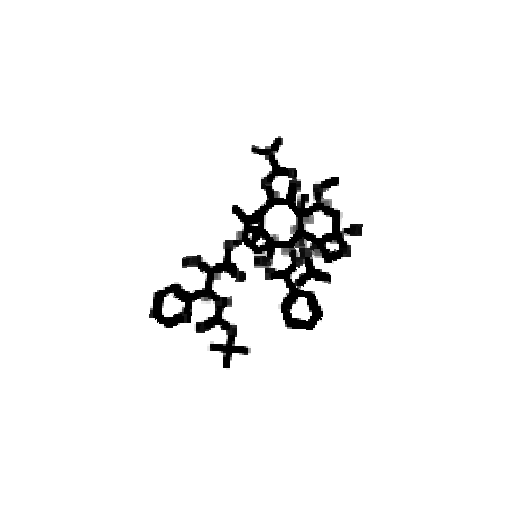 C=C(C)O[C@@]12CO[C@@H]1C[C@H](OC)[C@@]1(C)C(=O)[C@H](OC(=O)N(C)C)C3=C(C)[C@@H](OC(=O)[C@H](O)[C@@H](NC(=O)OC(C)(C)C)c4ccccn4)C[C@@](O)([C@@H](OC(=O)c4ccccc4)[C@H]21)C3(C)C